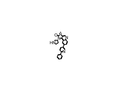 Cn1c(=O)n([C@H]2CCNC2)c2c3cc(-c4ccc(-c5ccccc5)nc4)ccc3ncc21